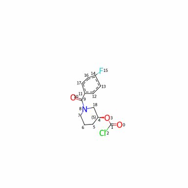 O=C(Cl)O[C@H]1CCCN(C(=O)c2ccc(F)cc2)C1